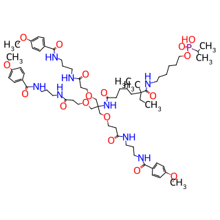 CCC(C)(CC(C)CCC(=O)NC(COCCC(=O)NCCCNC(=O)c1ccc(OC)cc1)(COCCC(=O)NCCCNC(=O)c1ccc(OC)cc1)COCCC(=O)NCCCNC(=O)c1ccc(OC)cc1)C(=O)NCCCCCCOP(=O)(O)C(C)C